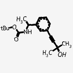 CC(NC(=O)OC(C)(C)C)c1cccc(C#CC(C)(C)O)c1